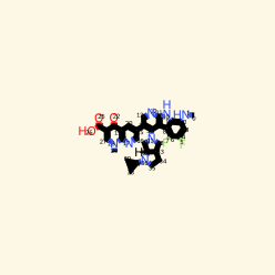 CNc1cc(F)c(F)c2c1[nH]c1ncc(-c3cnc4c(c3)c(=O)c(C(=O)O)cn4C)c(N3CC4CCN(C5CC5)[C@H]4C3)c12